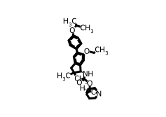 CCOc1cc2c(cc1-c1ccc(OC(C)C)cc1)CC(C)(C)[C@H]2NC(=O)O[C@H]1CN2CCC1CC2